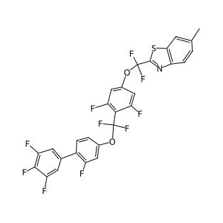 Cc1ccc2nc(C(F)(F)Oc3cc(F)c(C(F)(F)Oc4ccc(-c5cc(F)c(F)c(F)c5)c(F)c4)c(F)c3)sc2c1